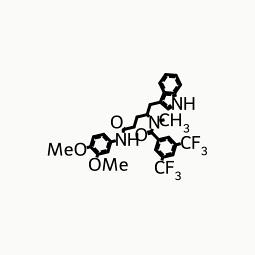 COc1ccc(NC(=O)CCC(Cc2c[nH]c3ccccc23)N(C)C(=O)c2cc(C(F)(F)F)cc(C(F)(F)F)c2)cc1OC